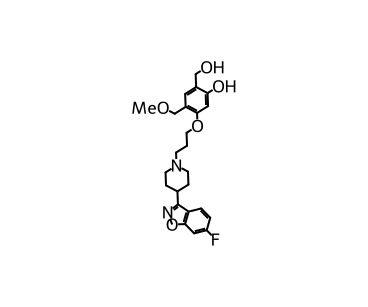 COCc1cc(CO)c(O)cc1OCCCN1CCC(c2noc3cc(F)ccc23)CC1